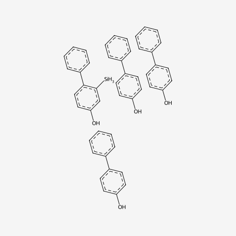 Oc1ccc(-c2ccccc2)c([SiH3])c1.Oc1ccc(-c2ccccc2)cc1.Oc1ccc(-c2ccccc2)cc1.Oc1ccc(-c2ccccc2)cc1